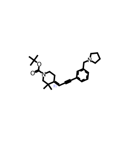 CC(C)(C)OC(=O)N1CC/C(=C\C#Cc2cccc(CN3CCCC3)c2)C(C)(C)C1